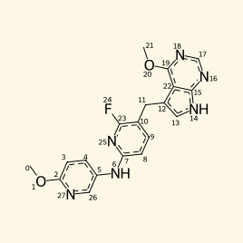 COc1ccc(Nc2ccc(Cc3c[nH]c4ncnc(OC)c34)c(F)n2)cn1